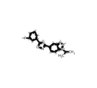 CC(C)n1nnc2cc(-c3noc(-c4cccc(F)c4)n3)ccc21